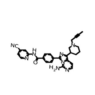 CC#CCN1CCCC(c2nc(-c3ccc(C(=O)Nc4cc(C#N)ccn4)cc3)n3c(N)nccc23)C1